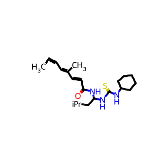 C\C=C/C=C(C)/C=C/C(=O)NC(CC(C)C)NC(=S)NC1CCCCC1